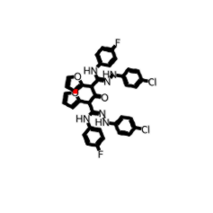 O=C(C(C(=NNc1ccc(Cl)cc1)Nc1ccc(F)cc1)c1ccco1)C(C(=NNc1ccc(Cl)cc1)Nc1ccc(F)cc1)c1ccco1